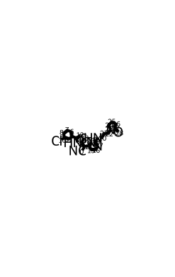 N#CC(=C1NC(c2cccc(Cl)c2)=CS1)c1ccnc(NCCCN2CCCC2=O)n1